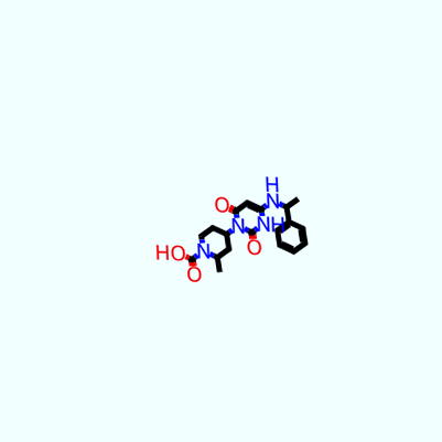 CC(Nc1cc(=O)n(C2CCN(C(=O)O)C(C)C2)c(=O)[nH]1)c1ccccc1